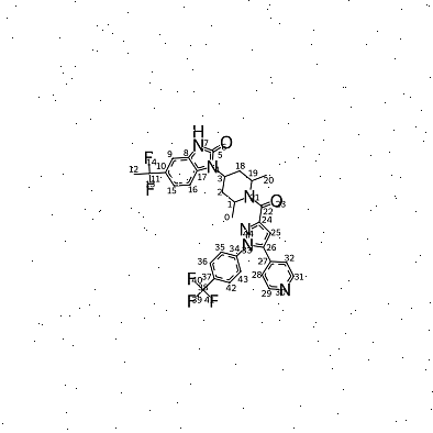 CC1CC(n2c(=O)[nH]c3cc(C(C)(F)F)ccc32)CC(C)N1C(=O)c1cc(-c2ccncc2)n(-c2ccc(C(F)(F)F)cc2)n1